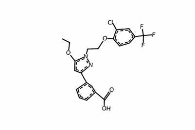 CCOc1cc(-c2cccc(C(=O)O)c2)nn1CCOc1ccc(C(F)(F)F)cc1Cl